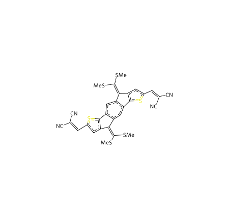 CSC(SC)=C1c2cc3c(cc2-c2sc(C=C(C#N)C#N)cc21)C(=C(SC)SC)c1cc(C=C(C#N)C#N)sc1-3